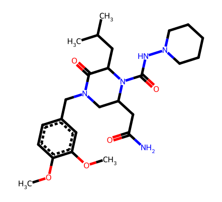 COc1ccc(CN2CC(CC(N)=O)N(C(=O)NN3CCCCC3)C(CC(C)C)C2=O)cc1OC